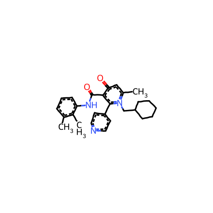 Cc1cccc(NC(=O)c2c(-c3ccncc3)n(CC3CCCCC3)c(C)cc2=O)c1C